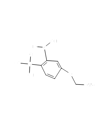 COCOc1ccc([Si](C)(C)C)c(B(O)O)c1